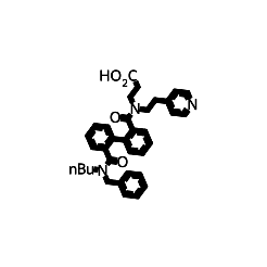 CCCCN(Cc1ccccc1)C(=O)c1ccccc1-c1ccccc1C(=O)N(CCC(=O)O)CCc1ccncc1